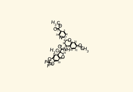 COC(=O)c1ccc([C@H]2C[C@@H](NC(=O)[C@@]3(C)COc4cc5c(cc43)OC(F)(F)O5)c3ccc(OC)cc3O2)nc1